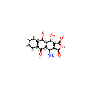 Nc1c2c(=O)oc(=O)c2c(O)c2c(=O)c3ccccc3c(=O)c12